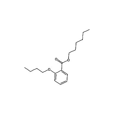 CCCCCCOC(=O)c1ccccc1OCCCC